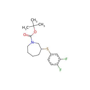 CC(C)(C)OC(=O)N1CCCCC(Sc2ccc(F)c(F)c2)C1